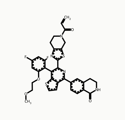 C=CC(=O)N1CCc2nc(-c3nc(-c4ccc5c(c4)CCNC5=O)c4ccsc4c3-c3c(F)cc(F)cc3OCCOC)sc2C1